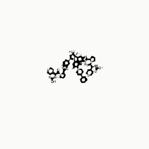 CC1C[C@H](c2ccc3[nH]c(C4CCCN4C(=O)C(NC(=O)O)C4CCOCC4)nc3c2)N(c2cc(F)c(N3CCC(c4ccccc4)CC3)c(F)c2)[C@]1(C)c1ccc2[nH]c(C3CCCN3C(=O)[C@@H](NC(=O)O)C3CCOCC3)nc2c1